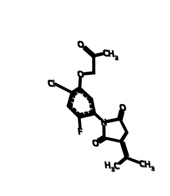 CC(=O)COc1cc(N2C(=O)CC(=C(C)C)C2=O)c(F)cc1Cl